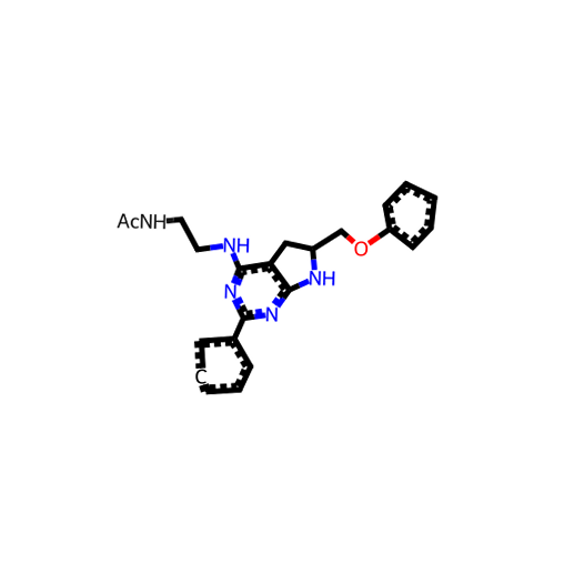 CC(=O)NCCNc1nc(-c2ccccc2)nc2c1CC(COc1ccccc1)N2